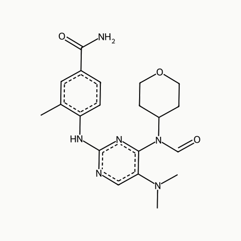 Cc1cc(C(N)=O)ccc1Nc1ncc(N(C)C)c(N(C=O)C2CCOCC2)n1